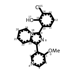 COc1ccncc1-c1nc(-c2cccc(Cl)c2O)n2ccccc12